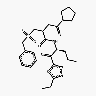 CCC[C@H](NC(=O)C(CC(=O)N1CCCC1)CS(=O)(=O)Cc1ccccc1)C(=O)c1nnc(CC)o1